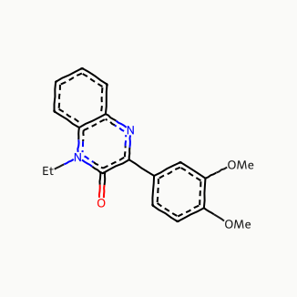 CCn1c(=O)c(-c2ccc(OC)c(OC)c2)nc2ccccc21